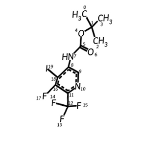 CC(C)(C)OC(=O)Nc1cnc(C(F)(F)F)c(F)c1I